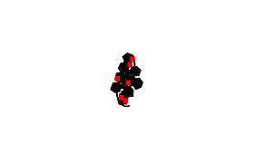 c1ccc(N(c2c3ccccc3c(N(c3ccccc3)c3cccc4c3oc3ccccc34)c3cc4ccccc4cc23)c2cccc3c2oc2ccccc23)cc1